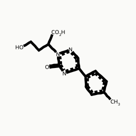 Cc1ccc(-c2cnn(C(CCO)C(=O)O)c(=O)n2)cc1